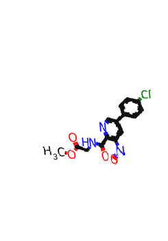 COC(=O)CNC(=O)c1ncc(-c2ccc(Cl)cc2)cc1N=O